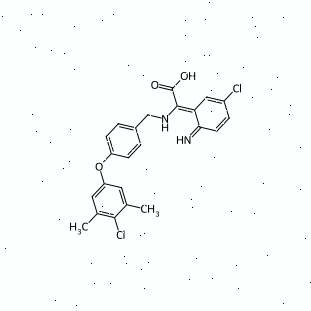 Cc1cc(Oc2ccc(CN/C(C(=O)O)=C3/C=C(Cl)C=CC3=N)cc2)cc(C)c1Cl